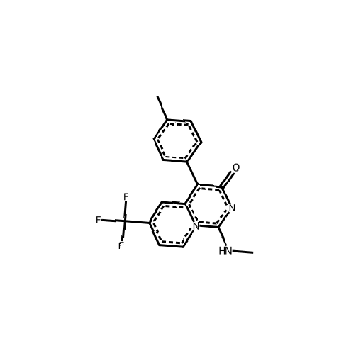 CNc1nc(=O)c(-c2ccc(C)cc2)c2cc(C(F)(F)F)ccn12